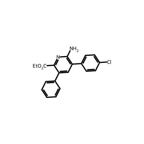 CCOC(=O)c1nc(N)c(-c2ccc(Cl)cc2)cc1-c1ccccc1